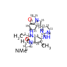 C=CC(=O)Nc1cc(Nc2nccc(-c3cn4c5c(cccc35)OCC4)n2)c(C)cc1N(C)CCNC